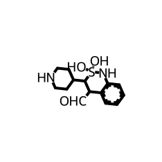 O=CC1c2ccccc2NS(O)(O)C1C1CCNCC1